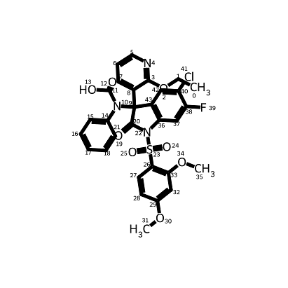 CCOc1ncccc1C1(N(C(=O)O)c2ccccc2)C(=O)N(S(=O)(=O)c2ccc(OC)cc2OC)c2cc(F)c(Cl)cc21